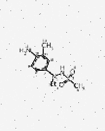 CCN(NS(C)(=O)=O)c1ccc(N)c(C)c1